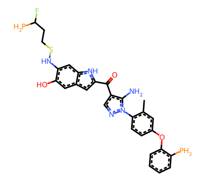 Cc1cc(Oc2ccccc2P)ccc1-n1ncc(C(=O)c2cc3cc(O)c(NSCCC(F)P)cc3[nH]2)c1N